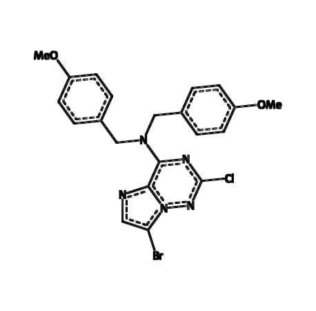 COc1ccc(CN(Cc2ccc(OC)cc2)c2nc(Cl)nn3c(Br)cnc23)cc1